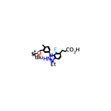 CCN1NN(c2ccc(C)c(CO[Si](C)(C)C(C)(C)C)c2)c2c1ccc(CCC(=O)O)c2F